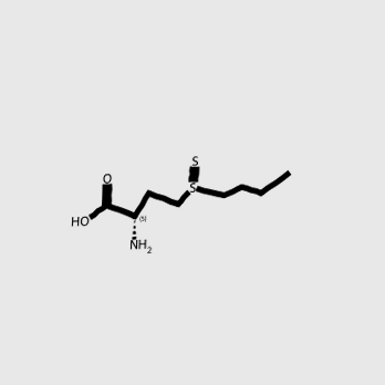 CCCCS(=S)CC[C@H](N)C(=O)O